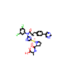 CC(NC(=O)C1CCCN1S(=O)(=O)c1cnc2n1C(C)(Cc1ccc(-c3cncnc3)cc1)C(=O)N2c1cc(Cl)cc(Cl)c1)C(=O)O